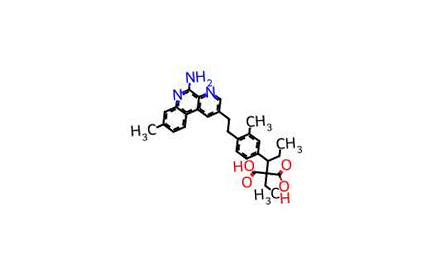 CCC(c1ccc(CCc2cnc3c(N)nc4cc(C)ccc4c3c2)c(C)c1)C(CC)(C(=O)O)C(=O)O